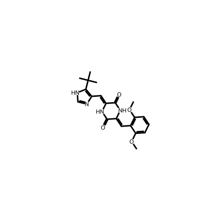 COc1cccc(OC)c1/C=c1\[nH]c(=O)/c(=C/c2nc[nH]c2C(C)(C)C)[nH]c1=O